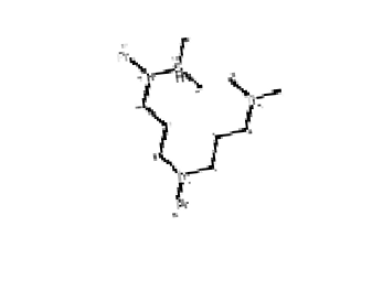 CC(C)N(CCCN(C)C)CCCN(C(C)C)[SH](C)C